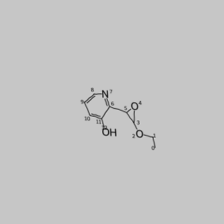 CCOC1OC1c1ncccc1O